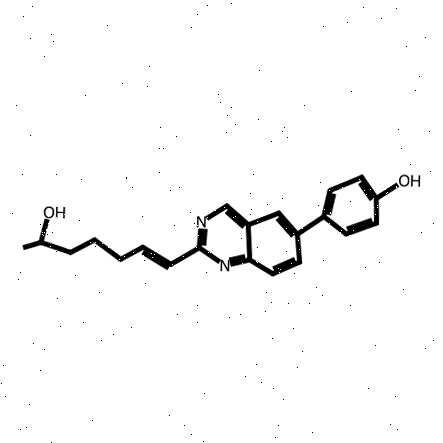 CC(O)CCCC=Cc1ncc2cc(-c3ccc(O)cc3)ccc2n1